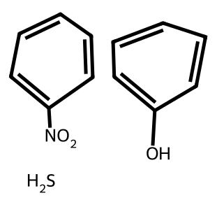 O=[N+]([O-])c1ccccc1.Oc1ccccc1.S